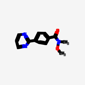 CON(C)C(=O)c1ccc(-c2ncccn2)cc1